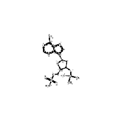 CC(C)(C)[Si](C)(C)OC1C[C@H](n2cnc3c(N)ncnc32)O[C@@H]1COS(N)(=O)=O